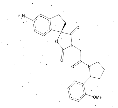 COc1ccccc1[C@H]1CCCN1C(=O)CN1C(=O)O[C@@]2(CCc3cc(N)ccc32)C1=O